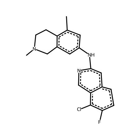 Cc1cc(Nc2cc3ccc(F)c(Cl)c3cn2)cc2c1CCN(C)C2